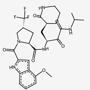 COc1cccc2[nH]c(C(=O)N3C[C@H](C(F)(F)F)C[C@H]3C(=O)N[C@@H](C[C@@H]3CCCNC3=O)C(=O)C(=O)NC(C)C)cc12